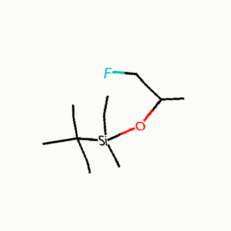 CC(CF)O[Si](C)(C)C(C)(C)C